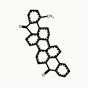 Cc1cccc2c1-c1ccc3c4ccc5c6c(ccc(c7ccc(c1c73)C2=O)c64)C(=O)c1ccccc1-5